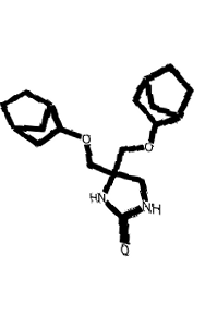 O=C1NCC(COC2CC3CCC2C3)(COC2CC3CCC2C3)N1